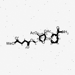 COC(=O)CCC(=O)OC[C@H]1O[C@@H]([n+]2cccc(C(N)=O)c2)[C@H](OC(C)=O)[C@@H]1OC(C)=O